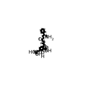 NC[C@H](CCC(=O)N1CC(Oc2ccc(CCB(O)O)c(O)c2C(=O)O)C1)c1ccccc1